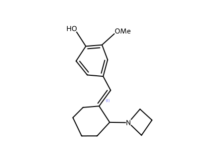 COc1cc(/C=C2\CCCCC2N2CCC2)ccc1O